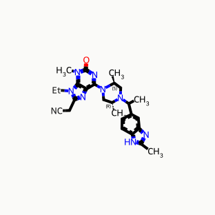 CCn1c(CC#N)nc2c(N3C[C@@H](C)N(C(C)c4ccc5[nH]c(C)nc5c4)C[C@@H]3C)nc(=O)n(C)c21